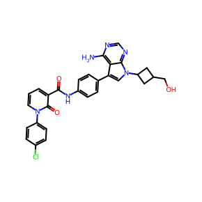 Nc1ncnc2c1c(-c1ccc(NC(=O)c3cccn(-c4ccc(Cl)cc4)c3=O)cc1)cn2C1CC(CO)C1